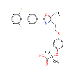 Cc1oc(-c2ccc(-c3c(F)cccc3F)cc2)nc1CCOc1ccc(OC(C)(C)C(=O)O)cc1